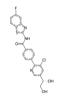 O=C(Nc1nc2cc(F)ccc2s1)c1ccc(-c2ncc([C@H](O)CO)cc2Cl)cc1